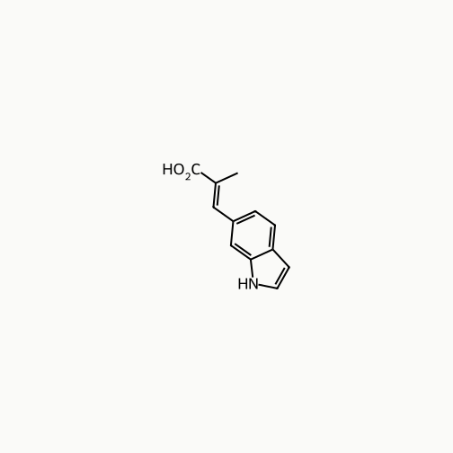 CC(=Cc1ccc2cc[nH]c2c1)C(=O)O